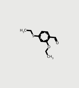 CCOc1cc(SCC)ccc1C=O